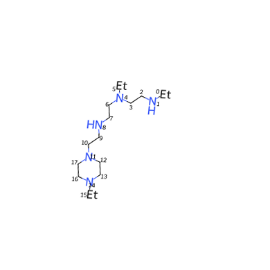 CCNCCN(CC)CCNCCN1CCN(CC)CC1